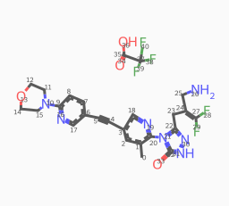 Cc1cc(C#Cc2ccc(N3CCOCC3)nc2)cnc1-n1c(CC(CN)=C(F)F)n[nH]c1=O.O=C(O)C(F)(F)F